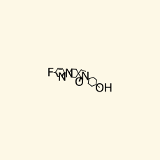 O=C1N([C@H]2CC[C@H](O)CC2)CCC12CCN(c1ccc(F)cn1)CC2